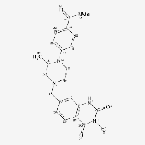 CCn1c(=O)[nH]c2cc(CN3CCN(c4ccc(C(=O)NC)nc4)C(C)C3)ccc2c1=O